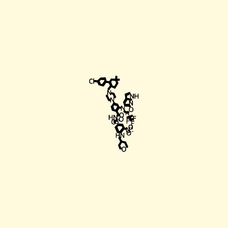 CC1(C)CCC(CN2CCN(c3ccc(C(=O)NS(=O)(=O)c4ccc(NCC5CCOCC5)c([N+](=O)[O-])c4)c(N4C[C@@H](C(C)(C)C(F)(F)F)Oc5nc6[nH]ccc6cc54)c3)CC2)=C(c2ccc(Cl)cc2)C1